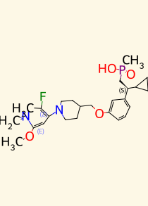 C=N/C(=C\C(=C(/C)F)N1CCC(COc2cccc([C@@H](CP(C)(=O)O)C3CC3)c2)CC1)OC